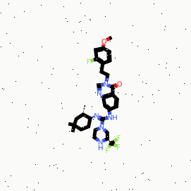 COc1ccc(CCn2cnc3cc(NC(=N[C@H]4CCC(C)(C)C[C@@H]4C)N4CCN[C@@H](C(F)(F)F)C4)ccc3c2=O)c(F)c1